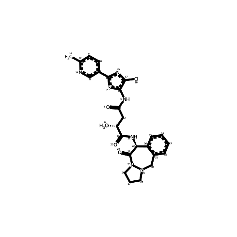 C[C@H](CC(=O)Nc1sc(-c2ccc(C(F)(F)F)nc2)nc1Cl)C(=O)N[C@@H]1C(=O)N2CCCN2Cc2ccccc21